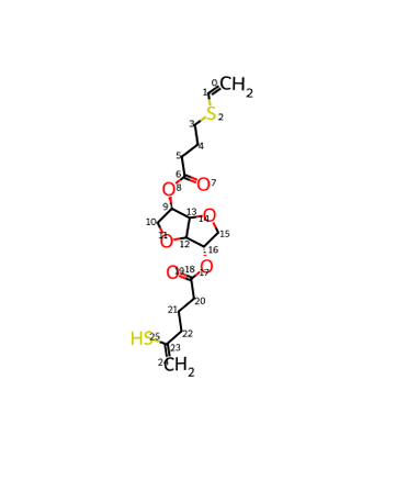 C=CSCCCC(=O)O[C@@H]1COC2C1OC[C@@H]2OC(=O)CCCC(=C)S